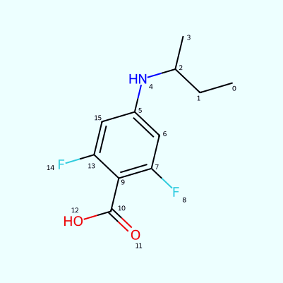 CCC(C)Nc1cc(F)c(C(=O)O)c(F)c1